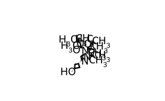 CC(C)(C)OC(=O)N(C(=O)OC(C)(C)C)c1cc([C@H]2C[C@@H](O)C2)nn1C(C)(C)C